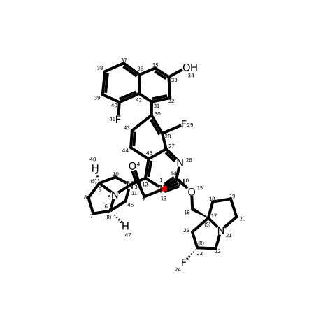 N#CCC(=O)N1[C@@H]2CC[C@H]1CN(c1nc(OC[C@@]34CCCN3C[C@H](F)C4)nc3c(F)c(-c4cc(O)cc5cccc(F)c45)ccc13)C2